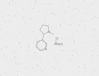 CCCCCCl.CN1CCCC1c1cccnc1